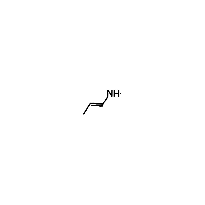 CC=C[NH]